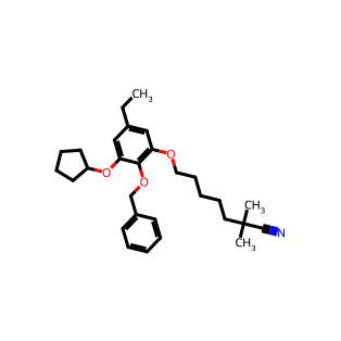 CCc1cc(OCCCCCC(C)(C)C#N)c(OCc2ccccc2)c(OC2CCCC2)c1